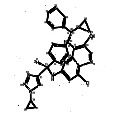 [2H][C@](Nc1cc(Cl)c2ncc(C#N)c(N[C@@H](c3ccccc3)C3CC3)c2c1)(c1ccc(F)cc1)c1cn(C2CC2)nn1